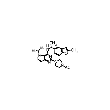 CCC(CC)n1ncc2nc(N3CCN(C(C)=O)CC3)nc(NC(C)c3ccc4oc(C)cc4c3)c21